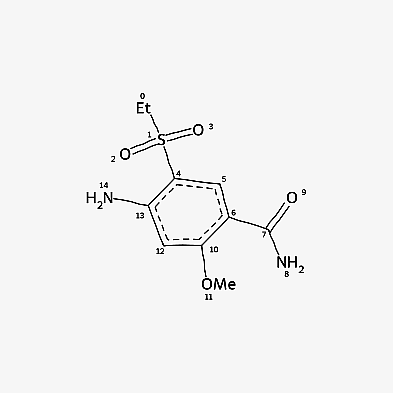 CCS(=O)(=O)c1cc(C(N)=O)c(OC)cc1N